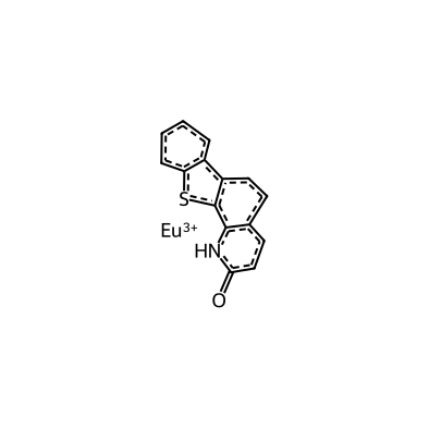 O=c1ccc2ccc3c4ccccc4sc3c2[nH]1.[Eu+3]